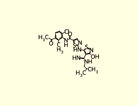 CC(=O)c1ccc(Cl)c(NC(=O)c2cnc(Nc3snc(O)c3C(=N)NCC(C)C)s2)c1C